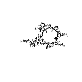 CCCCCCC[C@@H](O)CC(=O)N[C@H](CN)C(=O)N[C@H]1CCNC(=O)[C@H](CC(C)C)NC(=O)[C@H](CCN)NC(=O)[C@H](CCN)NC(=O)[C@H](C(C)C)NC(=O)[C@@H](Cc2ccccc2)NC(=O)[C@H](CCN)NC1=O